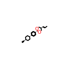 C#C[C@H]1CC[C@H](c2ccc([C@H]3OC[C@H](/C=C/C)CO3)cc2)CC1